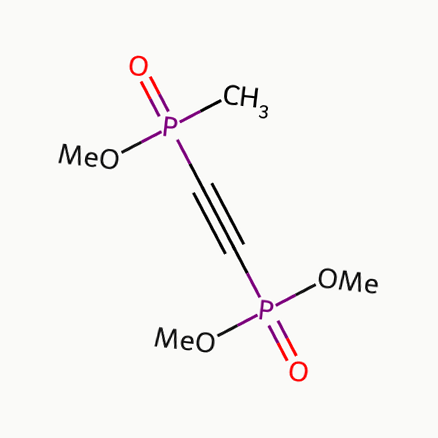 COP(C)(=O)C#CP(=O)(OC)OC